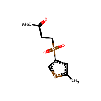 COC(=O)CCS(=O)(=O)c1csc(C)c1